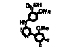 COc1cc(F)c(F)cc1-c1cc(Nc2ccc(OC)c([N+](=O)O)c2)ncn1